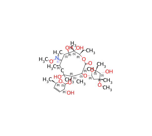 CC[C@H]1OC(=O)[C@H](C)[C@@H](O[C@H]2C[C@@](C)(OC)[C@@H](O)[C@H](C)O2)[C@H](C)[C@@H](O[C@@H]2O[C@H](C)C=C[C@H]2O)C(C)(O)C[C@@H](C)/C(=N\OC)[C@H](C)[C@@H](O)[C@]1(C)O